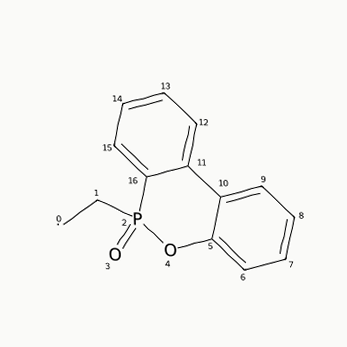 [CH2]CP1(=O)Oc2ccccc2-c2ccccc21